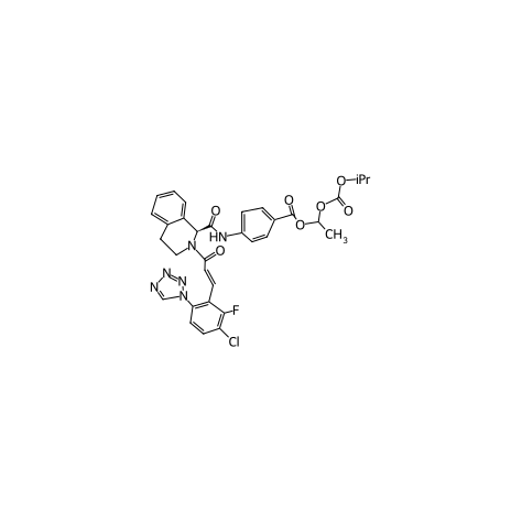 CC(C)OC(=O)OC(C)OC(=O)c1ccc(NC(=O)[C@@H]2c3ccccc3CCN2C(=O)/C=C/c2c(-n3cnnn3)ccc(Cl)c2F)cc1